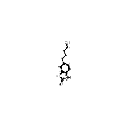 O=c1[nH]c2ccc(CCCCO)cc2s1